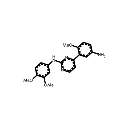 COc1ccc(Nc2nccc(-c3cc(N)ccc3OC)n2)cc1OC